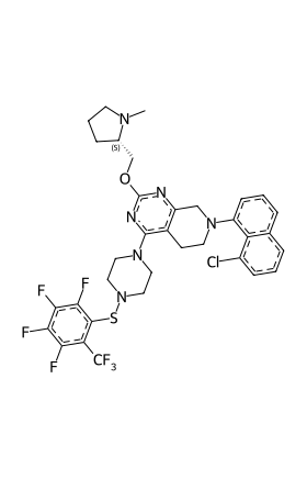 CN1CCC[C@H]1COc1nc2c(c(N3CCN(Sc4c(F)c(F)c(F)c(F)c4C(F)(F)F)CC3)n1)CCN(c1cccc3cccc(Cl)c13)C2